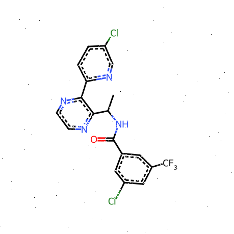 CC(NC(=O)c1cc(Cl)cc(C(F)(F)F)c1)c1nccnc1-c1ccc(Cl)cn1